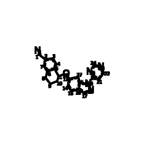 N#Cc1ccc2c(c1)CCCC2Oc1ccc2cnn(-c3ccncn3)c2c1